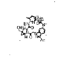 CCCCOC(=O)N(C)c1ccc2c(C(C)=O)nn(CC(=O)N3[C@H](C(=O)Nc4nc(Br)ccc4C)C[C@@]4(COCC(C)C)C[C@@H]34)c2c1